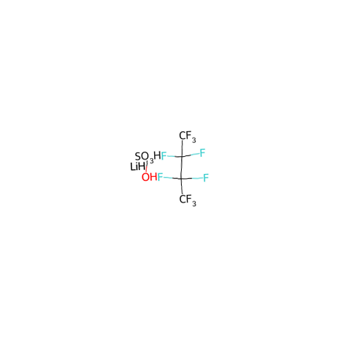 FC(F)(F)C(F)(F)C(F)(F)C(F)(F)F.O=S(=O)(O)O.[LiH]